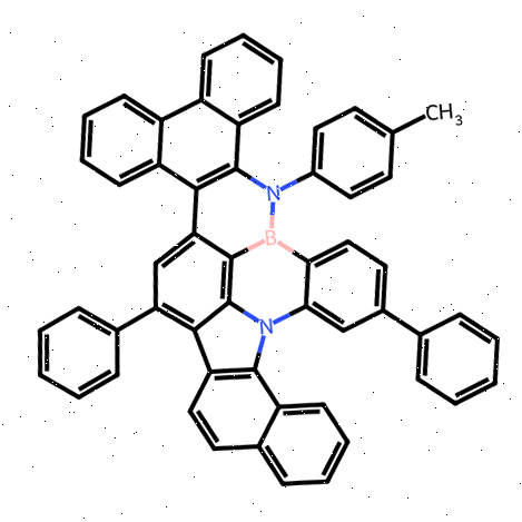 Cc1ccc(N2B3c4ccc(-c5ccccc5)cc4-n4c5c3c(cc(-c3ccccc3)c5c3ccc5ccccc5c34)-c3c2c2ccccc2c2ccccc32)cc1